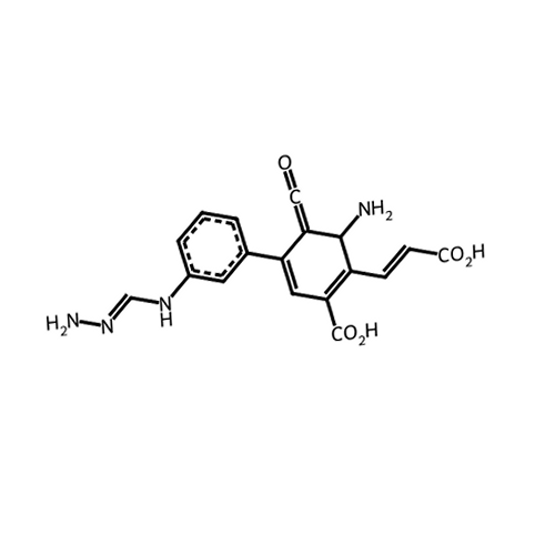 NN=CNc1cccc(C2=CC(C(=O)O)=C(C=CC(=O)O)C(N)C2=C=O)c1